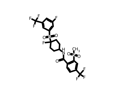 CS(=O)(=O)c1cc(C(F)(F)F)ccc1C(=O)NC1CCC(F)(S(=O)(=O)c2cc(F)cc(C(F)(F)F)c2)CC1